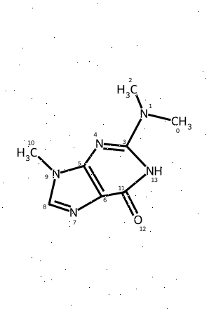 CN(C)c1nc2c(ncn2C)c(=O)[nH]1